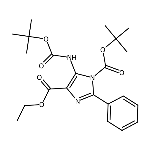 CCOC(=O)c1nc(-c2ccccc2)n(C(=O)OC(C)(C)C)c1NC(=O)OC(C)(C)C